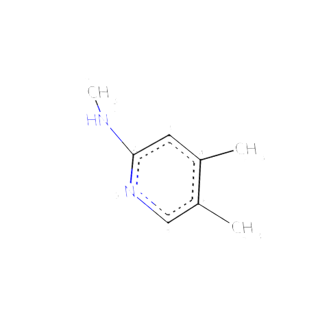 CNc1cc(C)c(C)cn1